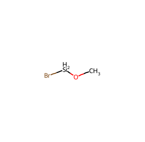 CO[SiH2]Br